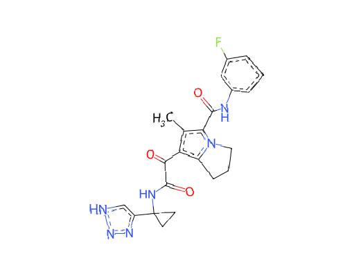 Cc1c(C(=O)C(=O)NC2(c3c[nH]nn3)CC2)c2n(c1C(=O)Nc1cccc(F)c1)CCC2